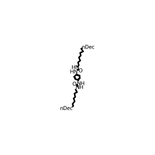 CCCCCCCCCCCCCCCCCCNC(=O)Nc1ccc(NC(=O)NCCCCCCCCCCCCCCCCCC)cc1